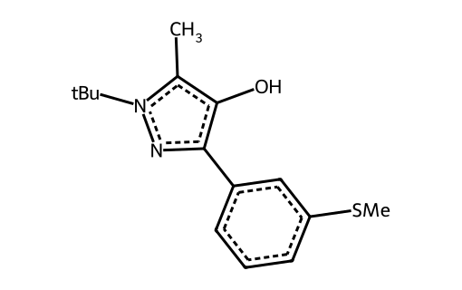 CSc1cccc(-c2nn(C(C)(C)C)c(C)c2O)c1